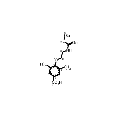 Cc1cc(C(=O)O)cc(C)c1OCCNC(=O)OC(C)(C)C